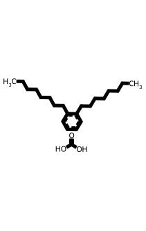 CCCCCCCCc1ccccc1CCCCCCCC.O=C(O)O